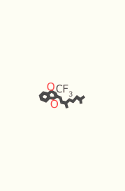 CC(C)=CCCC(C)=CCC1=C(C(F)(F)F)C(=O)c2ccccc2C1=O